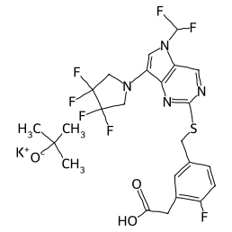 CC(C)(C)[O-].O=C(O)Cc1cc(CSc2ncc3c(n2)c(N2CC(F)(F)C(F)(F)C2)cn3C(F)F)ccc1F.[K+]